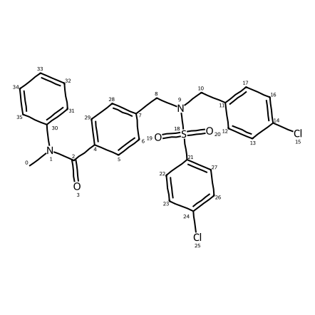 CN(C(=O)c1ccc(CN(Cc2ccc(Cl)cc2)S(=O)(=O)c2ccc(Cl)cc2)cc1)c1ccccc1